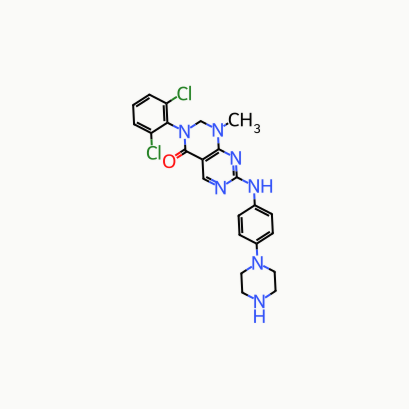 CN1CN(c2c(Cl)cccc2Cl)C(=O)c2cnc(Nc3ccc(N4CCNCC4)cc3)nc21